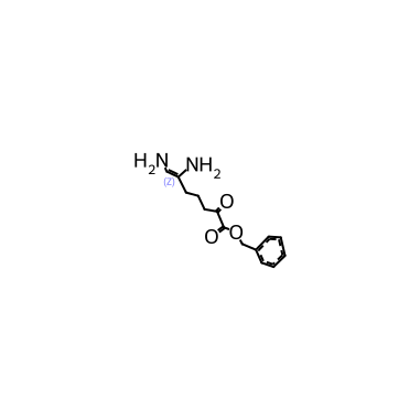 N/C=C(\N)CCCC(=O)C(=O)OCc1ccccc1